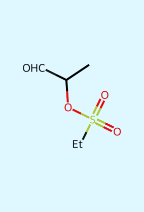 CCS(=O)(=O)OC(C)C=O